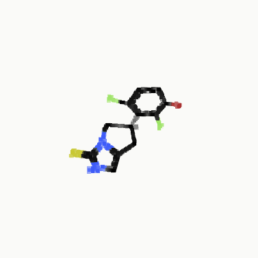 Fc1ccc(Br)c(F)c1[C@@H]1Cc2c[nH]c(=S)n2C1